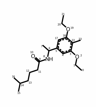 CCOc1cc(C(C)NC(=O)CCCC(C)C)cc(OCC)c1C